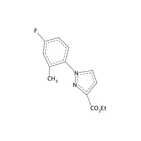 CCOC(=O)c1ccn(-c2ccc(F)cc2C)n1